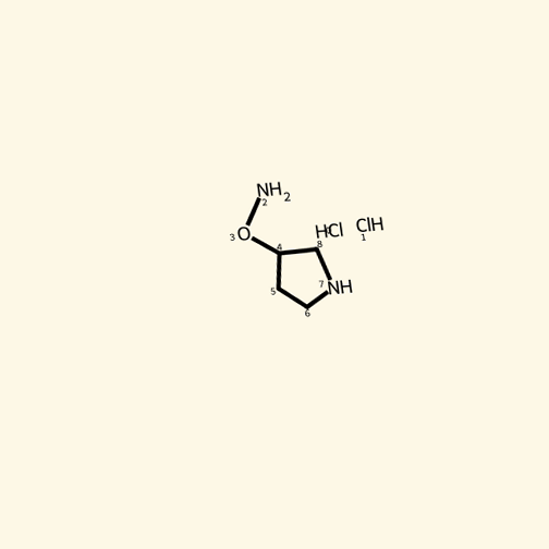 Cl.Cl.NOC1CCNC1